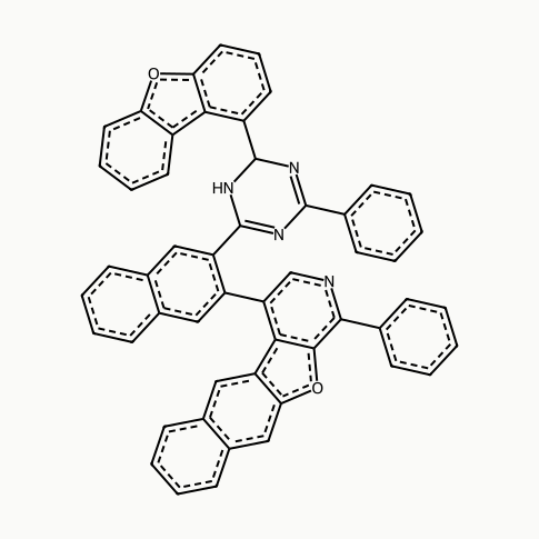 c1ccc(C2=NC(c3cccc4oc5ccccc5c34)NC(c3cc4ccccc4cc3-c3cnc(-c4ccccc4)c4oc5cc6ccccc6cc5c34)=N2)cc1